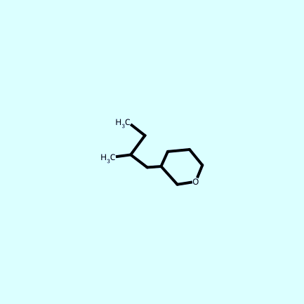 CCC(C)CC1CCCOC1